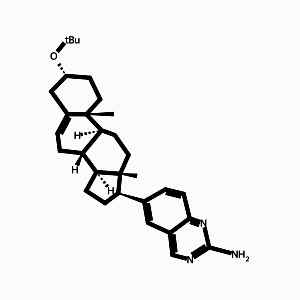 CC(C)(C)O[C@@H]1CC[C@@]2(C)C(=CC[C@H]3[C@@H]4CC[C@H](c5ccc6nc(N)ncc6c5)[C@@]4(C)CC[C@@H]32)C1